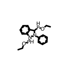 CCOPC1c2ccccc2N(POCC)N1c1ccccc1